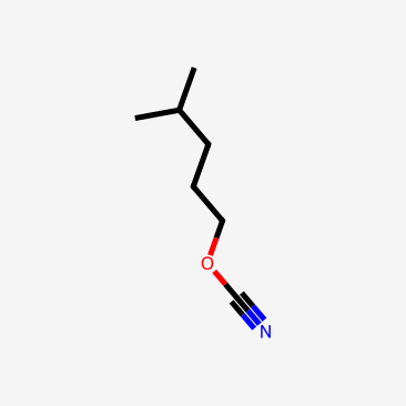 CC(C)CCCOC#N